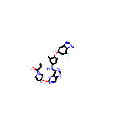 C=CC(=O)N1CC[C@H](Oc2ncc3ncnc(Nc4ccc(Oc5cc(F)c6c(c5)ncn6C)c(C)c4)c3n2)C1